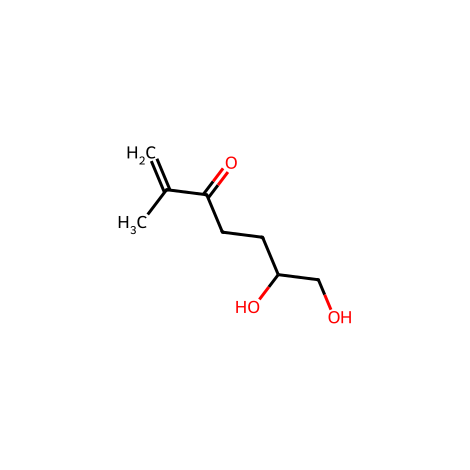 C=C(C)C(=O)CCC(O)CO